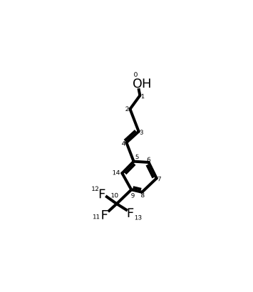 OCCC=Cc1cccc(C(F)(F)F)c1